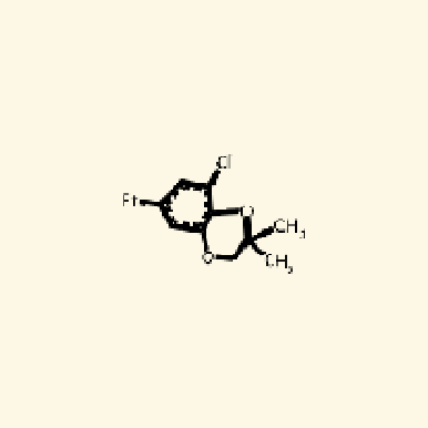 CCc1cc(Cl)c2c(c1)OCC(C)(C)O2